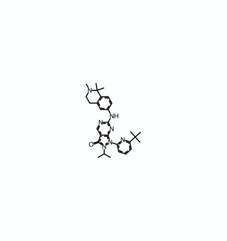 CC(C)n1c(=O)c2cnc(Nc3ccc4c(c3)CCN(C)C4(C)C)nc2n1-c1cccc(C(C)(C)C)n1